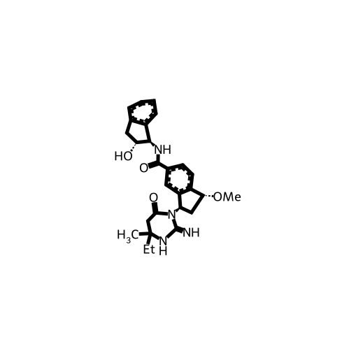 CCC1(C)CC(=O)N([C@@H]2C[C@@H](OC)c3ccc(C(=O)N[C@@H]4c5ccccc5C[C@H]4O)cc32)C(=N)N1